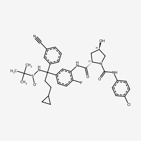 CC(C)(C)[S+]([O-])NC(CCC1CC1)(c1cccc(C#N)c1)c1ccc(F)c(NC(=O)[C@@H]2C[C@@H](O)CN2C(=O)Nc2ccc(Cl)cc2)c1